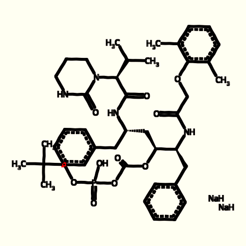 Cc1cccc(C)c1OCC(=O)N[C@@H](Cc1ccccc1)[C@H](C[C@H](Cc1ccccc1)NC(=O)[C@H](C(C)C)N1CCCNC1=O)OC(=O)OP(=O)(O)OCC(C)(C)C.[NaH].[NaH]